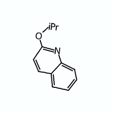 CC(C)Oc1ccc2ccccc2n1